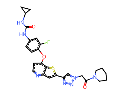 O=C(Nc1ccc(Oc2ccnc3cc(-c4cn(CC(=O)N5CCCCC5)nn4)sc23)c(F)c1)NC1CC1